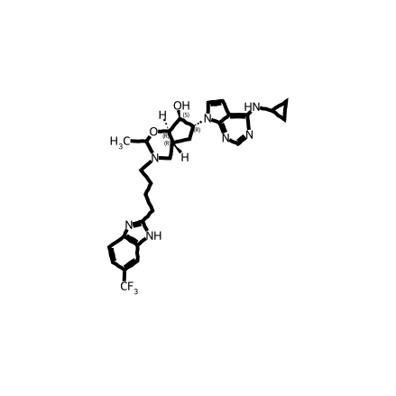 CC1O[C@@H]2[C@H](C[C@@H](n3ccc4c(NC5CC5)ncnc43)[C@@H]2O)CN1CCCCc1nc2ccc(C(F)(F)F)cc2[nH]1